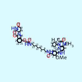 COc1cc(C(=O)NCCCCCCCCNC(=O)COc2cccc3c2CN(C2CCC(=O)NC2=O)C3=O)ccc1Nc1ccc2c(n1)N(C1CCCC1)[C@H](C)C(=O)N2C